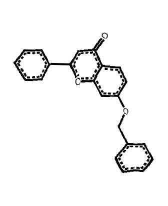 O=c1cc(-c2ccccc2)oc2cc(OCc3ccccc3)ccc12